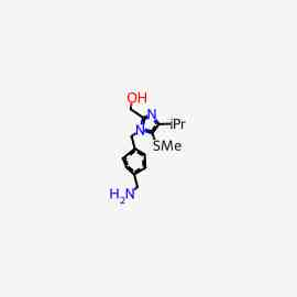 CSc1c(C(C)C)nc(CO)n1Cc1ccc(CN)cc1